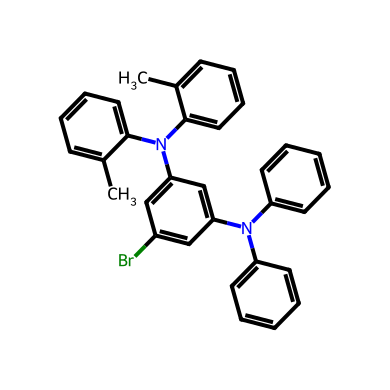 Cc1ccccc1N(c1cc(Br)cc(N(c2ccccc2)c2ccccc2)c1)c1ccccc1C